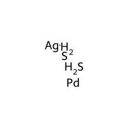 S.S.[Ag].[Pd]